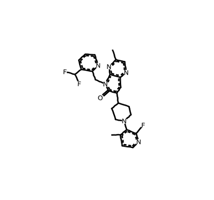 Cc1cnc2cc(C3CCN(c4c(C)ccnc4F)CC3)c(=O)n(Cc3ncccc3C(F)F)c2n1